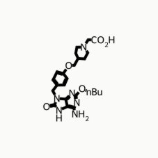 CCCCOc1nc(N)c2[nH]c(=O)n(Cc3ccc(OCC4CCN(CC(=O)O)CC4)cc3)c2n1